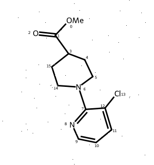 COC(=O)C1CCN(c2ncccc2Cl)CC1